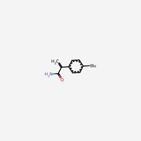 C=C(C(N)=O)c1ccc(C(C)(C)C)cc1